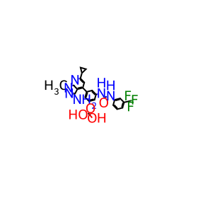 Cn1nc(N)c2c(-c3cccc(NC(=O)Nc4cccc(C(F)(F)F)c4)c3)cc(C3CC3)nc21.O=C(O)O